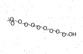 CC(C)(C)OC(=O)CCOCCOCCOCCOCCOCCOCCOCCOCCO